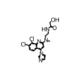 CN(CCNC(=O)CO)c1cc(-n2ccnc2)c2ccc(Cl)c(Cl)c2n1